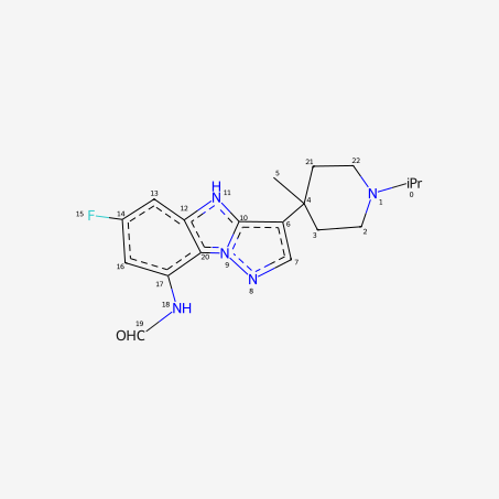 CC(C)N1CCC(C)(c2cnn3c2[nH]c2cc(F)cc(NC=O)c23)CC1